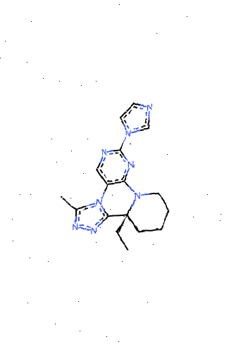 CC[C@]12CCCCN1c1nc(-n3ccnc3)ncc1-n1c(C)nnc12